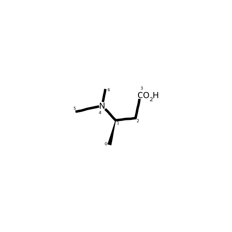 C[C@H](CC(=O)O)N(C)C